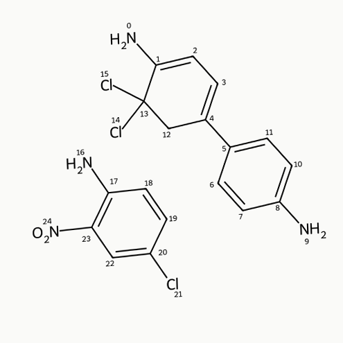 NC1=CC=C(c2ccc(N)cc2)CC1(Cl)Cl.Nc1ccc(Cl)cc1[N+](=O)[O-]